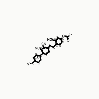 CCCC12CCC(c3ccc(CCc4ccc(OC(=O)CC)cc4C#N)c(C#N)c3C#N)(CC1)CC2